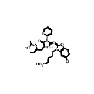 CC=C(CC1NC(=S=c2oc3ccc(Cl)cc3n2CCCCS(=O)(=O)O)N(c2ccccn2)C1=O)OC(C)O